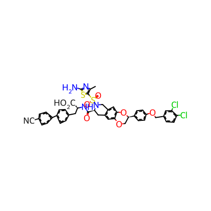 Cc1nc(N)sc1S(=O)(=O)N1Cc2cc3c(cc2C[C@H]1C(=O)N[C@@H](Cc1ccc(-c2ccc(C#N)cc2)cc1)C(=O)O)OC[C@H](c1ccc(OCc2ccc(Cl)c(Cl)c2)cc1)O3